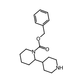 O=C(OCc1ccccc1)N1CCCCC1C1CCNCC1